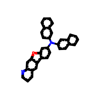 c1ccc2cc(N(c3ccc4ccccc4c3)c3ccc4c(c3)oc3cc5ncccc5cc34)ccc2c1